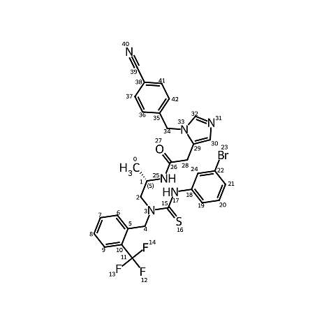 C[C@@H](CN(Cc1ccccc1C(F)(F)F)C(=S)Nc1cccc(Br)c1)NC(=O)Cc1cncn1Cc1ccc(C#N)cc1